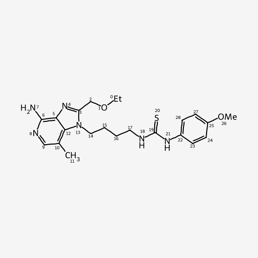 CCOCc1nc2c(N)ncc(C)c2n1CCCCNC(=S)Nc1ccc(OC)cc1